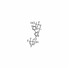 C[C@H]1Cn2nc(OCC(O)(C(F)(F)F)C(F)(F)F)cc2-c2cnc(C(C)(O)C(F)(F)F)n21